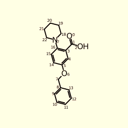 O=C(O)c1cc(OCc2ccccc2)ccc1N1CCCCC1